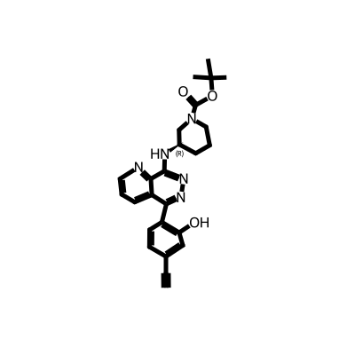 C#Cc1ccc(-c2nnc(N[C@@H]3CCCN(C(=O)OC(C)(C)C)C3)c3ncccc23)c(O)c1